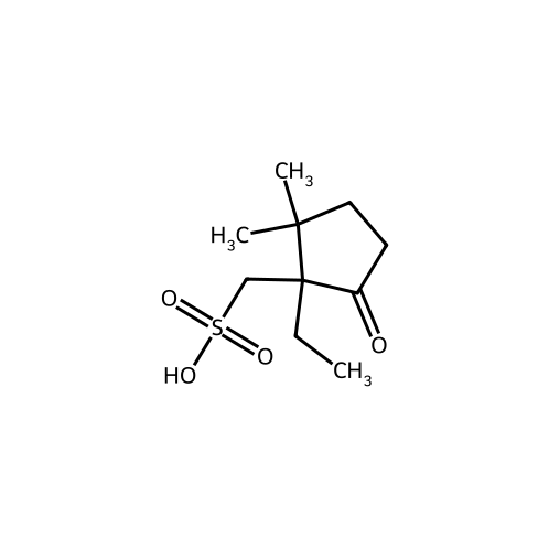 CCC1(CS(=O)(=O)O)C(=O)CCC1(C)C